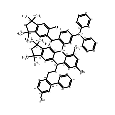 Cc1cc2c(cc1C(C)c1ccc(N(c3ccccc3)c3ccccc3)cc1B1c3cc4c(cc3C(CCc3ccc(C(C)(C)C)cc3-c3ccccc3)c3cc(C(C)(C)C)cc(C)c31)C(C)(C)CC4(C)C)C(C)(C)CC2(C)C